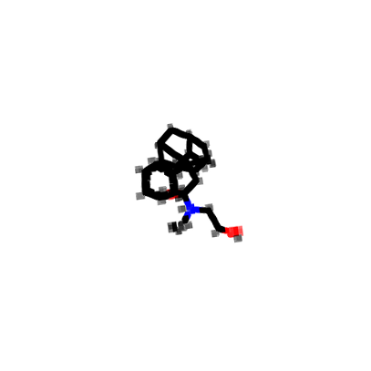 CC1C2CC3CC1CC(C2)C3(CC(=O)N(C)CCO)c1ccccc1